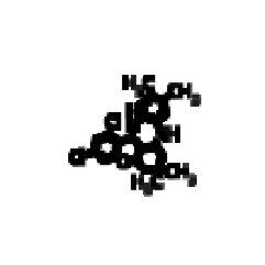 Cc1cc2c(cc1C)NC(c1ccc(Cl)cc1Cl)C1=C(CC(C)(C)CC1=O)N2